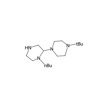 CCCCN1CCNCC1N1CCN(C(C)(C)C)CC1